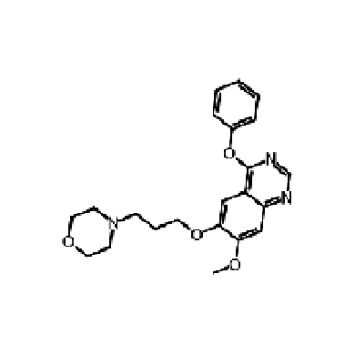 COc1cc2ncnc(Oc3ccccc3)c2cc1OCCCN1CCOCC1